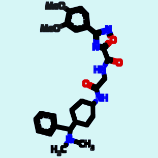 COc1ccc(-c2noc(C(=O)NCC(=O)NC3CCC(C(c4ccccc4)N(C)C)CC3)n2)cc1OC